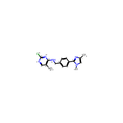 CCn1cc(C(F)(F)F)nc1-c1ccc(CNc2nc(Cl)ncc2[N+](=O)[O-])cc1